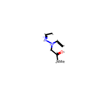 C=CN(CC(=O)NC)/N=C\C